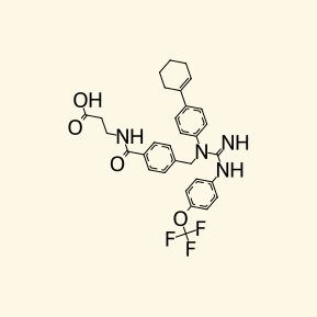 N=C(Nc1ccc(OC(F)(F)F)cc1)N(Cc1ccc(C(=O)NCCC(=O)O)cc1)c1ccc(C2=CCCCC2)cc1